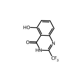 O=c1[nH]c(C(F)(F)F)nc2cccc(O)c12